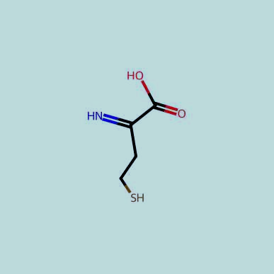 N=C(CCS)C(=O)O